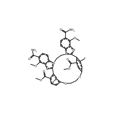 COC(=O)c1cc2cc(F)c1-c1nc3c(OC)c(C(N)=O)ccc3n1CCn1c(nc3c(OC)c(C(N)=O)ccc31)-c1c(C(=O)OC)ccc(c1F)OCCO2